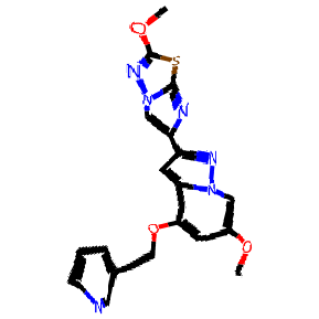 COc1cc(OCc2cccnc2)c2cc(-c3cn4nc(OC)sc4n3)nn2c1